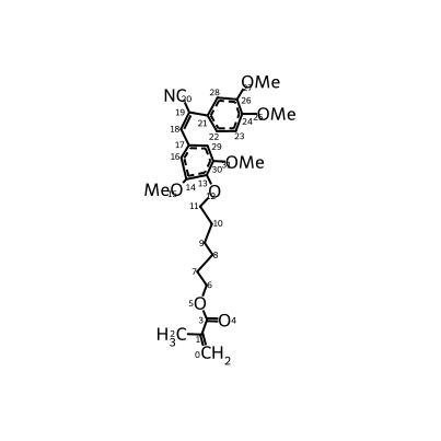 C=C(C)C(=O)OCCCCCCOc1c(OC)cc(C=C(C#N)c2ccc(OC)c(OC)c2)cc1OC